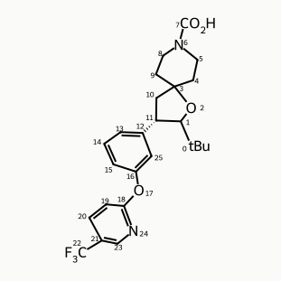 CC(C)(C)C1OC2(CCN(C(=O)O)CC2)C[C@H]1c1cccc(Oc2ccc(C(F)(F)F)cn2)c1